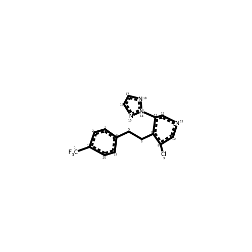 FC(F)(F)c1ccc(CCc2c(Cl)cncc2-n2nccn2)cc1